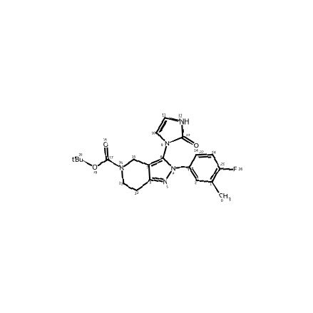 Cc1cc(-n2nc3c(c2-n2cc[nH]c2=O)CN(C(=O)OC(C)(C)C)CC3)ccc1F